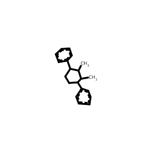 CC1C(c2ccccc2)CCC(c2ccccc2)C1C